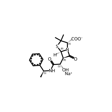 C[C@H](NC(=O)[C@@H](O)[C@@H]1C(=O)N2[C@@H]1SC(C)(C)[C@@H]2C(=O)[O-])c1ccccc1.[Na+]